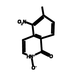 Cc1ccc2c(c1[N+](=O)[O-])C=C[NH+]([O-])C2=O